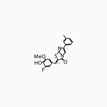 COc1cc(/C=c2\sc3nc(-c4cccc(C)c4)cn3c2=O)cc(F)c1O